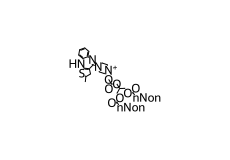 CCCCCCCCCC(=O)OCC(COC(=O)CCCCCCCCC)OC(=O)OC[N+]1(C)CCN(C2=Nc3ccccc3NC3=C2CC(C)S3)CC1